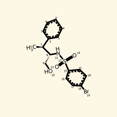 C[C@@H](c1ccccc1)[C@@H](CO)NS(=O)(=O)c1ccc(Br)cc1